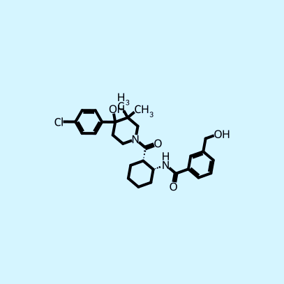 CC1(C)CN(C(=O)[C@H]2CCCC[C@H]2NC(=O)c2cccc(CO)c2)CCC1(O)c1ccc(Cl)cc1